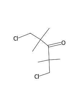 CC(C)(CCl)C(=O)C(C)(C)CCl